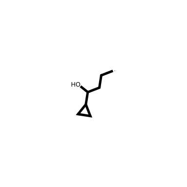 [CH2]CCC(O)C1CC1